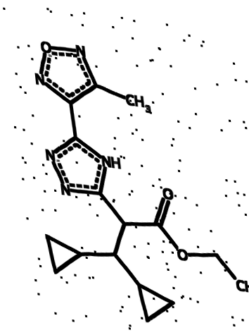 CCOC(=O)C(c1nnc(-c2nonc2C)[nH]1)C(C1CC1)C1CC1